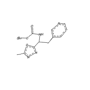 Cc1nnc(C(Cc2cccnc2)NC(=O)OC(C)(C)C)o1